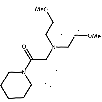 COCCN(CCOC)CC(=O)N1CCCCC1